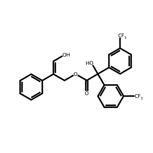 O=C(OCC(=CO)c1ccccc1)C(O)(c1cccc(C(F)(F)F)c1)c1cccc(C(F)(F)F)c1